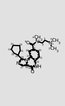 CN(C)CCN(C)C(=O)c1ccc2[nH]c(=O)c3cnc(C4CCCCC4)n3c2c1